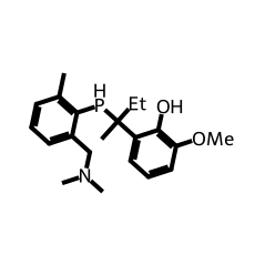 CCC(C)(Pc1c(C)cccc1CN(C)C)c1cccc(OC)c1O